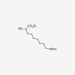 CCCCCCCCCCCCCCCCC(C#N)C(=O)OCC